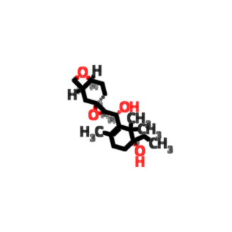 CC[C@]1(O)CCC(C)=C([C@@H](O)[C@H]2O[C@]23CC[C@H]2OC[C@H]2C3)C1(C)C